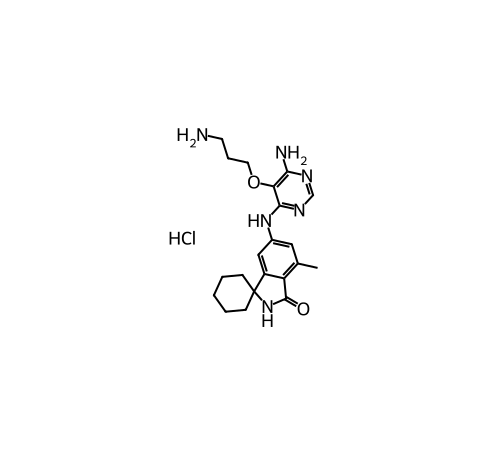 Cc1cc(Nc2ncnc(N)c2OCCCN)cc2c1C(=O)NC21CCCCC1.Cl